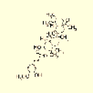 COc1ccc(/C=C/C(=O)O[C@@H]2[C@H](O)C[C@@]3(C)C(CC[C@]4(C)C3CC=C3[C@@H]5[C@@H](C)[C@H](C)CC[C@]5(C(C)=O)CC[C@]34C)C2(C)C)cc1O